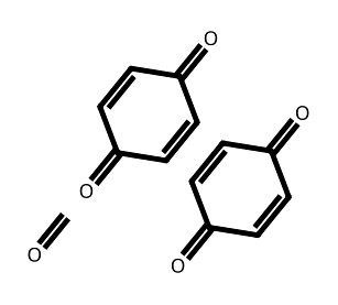 C=O.O=C1C=CC(=O)C=C1.O=C1C=CC(=O)C=C1